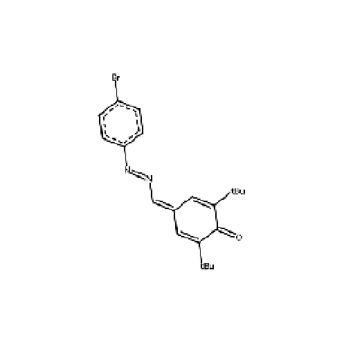 CC(C)(C)C1=CC(=CN=Nc2ccc(Br)cc2)C=C(C(C)(C)C)C1=O